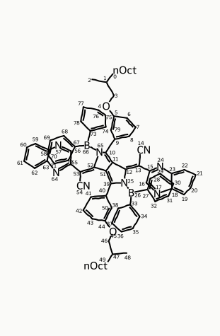 CCCCCCCCC(C)COc1cccc(-c2c3/c(=C(\C#N)c4cnc5ccccc5n4)n(B(c4ccccc4)c4ccccc4)c(-c4cccc(OCC(C)CCCCCCCC)c4)c3/c(=C(\C#N)c3cnc4ccccc4n3)n2B(c2ccccc2)c2ccccc2)c1